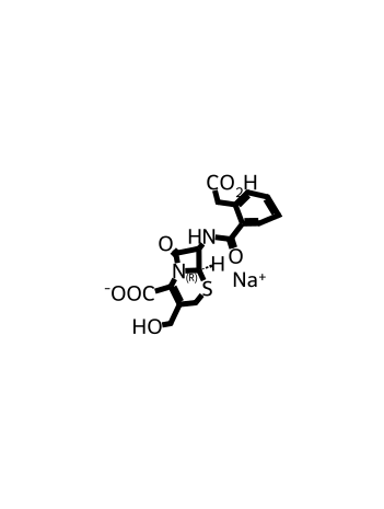 O=C(O)Cc1ccccc1C(=O)NC1C(=O)N2C(C(=O)[O-])=C(CO)CS[C@H]12.[Na+]